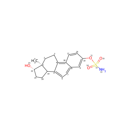 C[C@]12CCc3c(ccc4cc(OS(N)(=O)=O)ccc34)C1CC[C@@H]2O